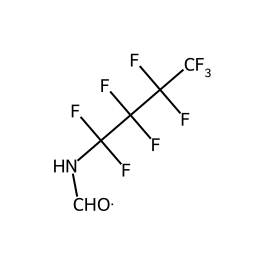 O=[C]NC(F)(F)C(F)(F)C(F)(F)C(F)(F)F